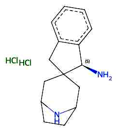 Cl.Cl.N[C@@H]1c2ccccc2CC12CC1CCC(C2)N1